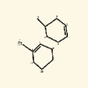 CC1CC=CCC1.CCC1=CCCCC1